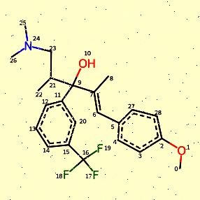 COc1ccc(/C=C(\C)C(O)(c2cccc(C(F)(F)F)c2)C(C)CN(C)C)cc1